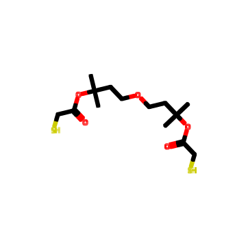 CC(C)(CCOCCC(C)(C)OC(=O)CS)OC(=O)CS